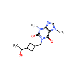 Cn1cnc2c1c(=O)n(CC1CC(C(O)C(F)(F)F)C1)c(=O)n2C